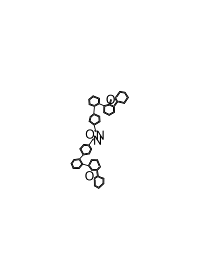 c1ccc(-c2cccc3c2oc2ccccc23)c(-c2ccc(-c3nnc(-c4ccc(-c5ccccc5-c5cccc6c5oc5ccccc56)cc4)o3)cc2)c1